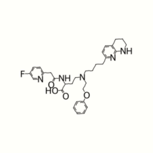 O=C(Cc1ccc(F)cn1)NC(CCN(CCCCc1ccc2c(n1)NCCC2)CCOc1ccccc1)C(=O)O